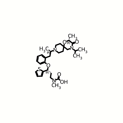 CC(C)N1CC2(CCN([C@H](C)Cc3ccccc3O[C@H](CCN(C)C(=O)O)c3cccs3)CC2)O[C@H](C)C1=O